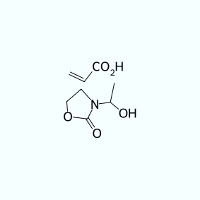 C=CC(=O)O.CC(O)N1CCOC1=O